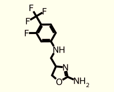 NC1=NC(CNc2ccc(C(F)(F)F)c(F)c2)CO1